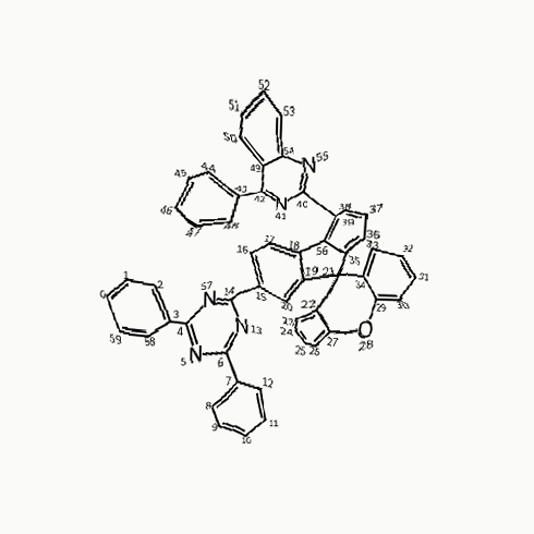 c1ccc(-c2nc(-c3ccccc3)nc(-c3ccc4c(c3)C3(c5ccccc5Oc5ccccc53)c3cccc(-c5nc(-c6ccccc6)c6ccccc6n5)c3-4)n2)cc1